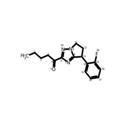 CCCCC(=O)c1nc2n(n1)CCC2c1ccccc1F